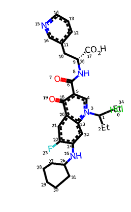 CCC(CC)n1cc(C(=O)N[C@H](Cc2cccnc2)C(=O)O)c(=O)c2cc(F)c(NC3CCCCC3)cc21.Cl